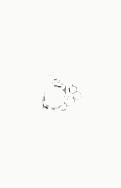 C[C@@H]1[C@@H](C)CCC[C@]2(CC(N(C)C)=NO2)[C@@H]2CC[C@H]2CN2C[C@@]3(CCCc4cc(Cl)ccc43)COc3ccc(cc32)C(=O)NS1(=O)=O